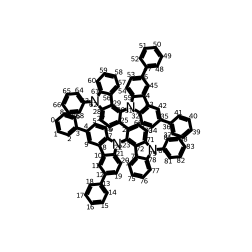 c1ccc(-c2ccc3c(c2)c2cc(-c4ccccc4)ccc2n3-c2c(-c3ccc4c(c3-n3c5ccc(-c6ccccc6)cc5c5cc(-c6ccccc6)ccc53)c3ccccc3n4-c3ccccc3)ccc3c2c2ccccc2n3-c2ccccc2)cc1